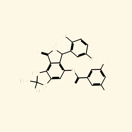 CC1(C)Nc2cc(NC(=O)c3cc(F)cc(C(F)(F)F)c3)c3c(c2N1)C(=O)NC3c1cc(F)ccc1Cl